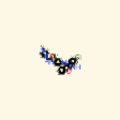 CN1CCN(CC(=O)Nc2ccc(NC(=C3C(=O)Nc4cc(Cl)ccc43)c3ccccc3)cc2Cl)CC1